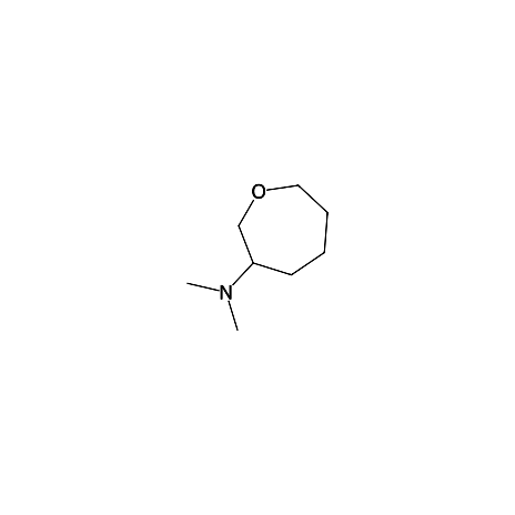 CN(C)C1CCCCOC1